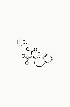 CCOC(=O)C(=C1CCCc2ccccc2N1)[N+](=O)[O-]